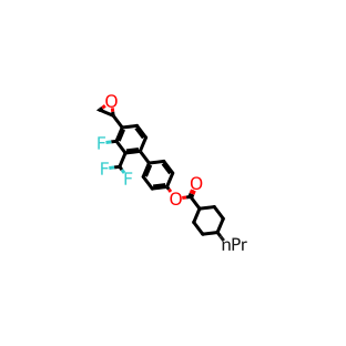 CCCC1CCC(C(=O)Oc2ccc(-c3ccc(C4CO4)c(F)c3C(F)F)cc2)CC1